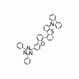 C1=CC(c2cccc3c2oc2ccc(-c4nc(-c5ccccc5)nc(-c5ccccc5)n4)cc23)=C2c3cccc(-n4c5ccccc5c5ccccc54)c3SC2C1